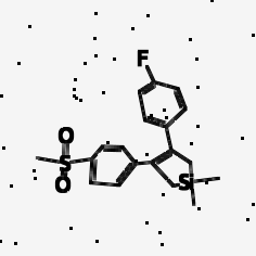 C[Si]1(C)CC(c2ccc(F)cc2)=C(c2ccc(S(C)(=O)=O)cc2)C1